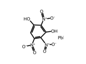 O=[N+]([O-])c1cc(O)c([N+](=O)[O-])c(O)c1[N+](=O)[O-].[Pb]